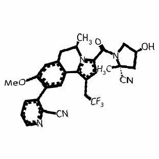 COc1cc2c(cc1-c1cccnc1C#N)-c1c(CC(F)(F)F)cc(C(=O)N3C[C@@H](O)C[C@]3(C)C#N)n1[C@H](C)C2